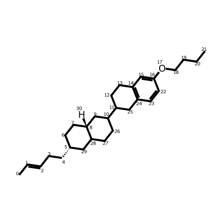 C/C=C/CC[C@@H]1CC[C@@H]2CC(C3CCc4cc(OCCCC)ccc4C3)CCC2C1